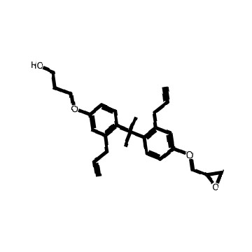 C=CCc1cc(OCCCO)ccc1C(C)(C)c1ccc(OCC2CO2)cc1CC=C